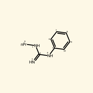 CCCNC(=N)Nc1ccccc1